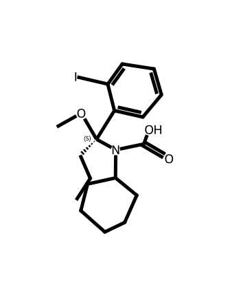 CCC[C@](OC)(c1ccccc1I)N(C(=O)O)C1CCCCC1